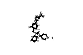 CN1CCC(n2c(=O)n(Cc3ccc(-c4nnc(C(F)F)o4)cc3F)c3ncccc32)CC1